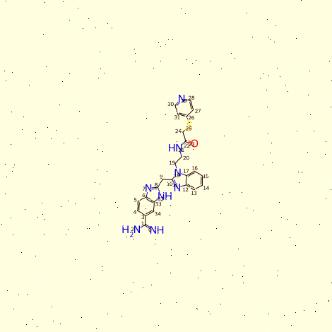 N=C(N)c1ccc2nc(Cc3nc4ccccc4n3CCNC(=O)CSc3ccncc3)[nH]c2c1